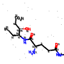 CCNC(=O)CC[C@H](N)C(=O)N[C@@H](CC(C)C)[C@@H](O)CC(=O)O